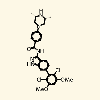 COc1cc(OC)c(Cl)c(-c2ccc3c(NC(=O)c4ccc(N5C[C@@H](C)N[C@@H](C)C5)cc4)n[nH]c3c2)c1Cl